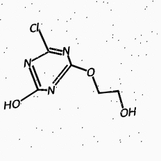 OCCOc1nc(O)nc(Cl)n1